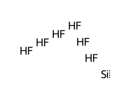 F.F.F.F.F.F.[Si]